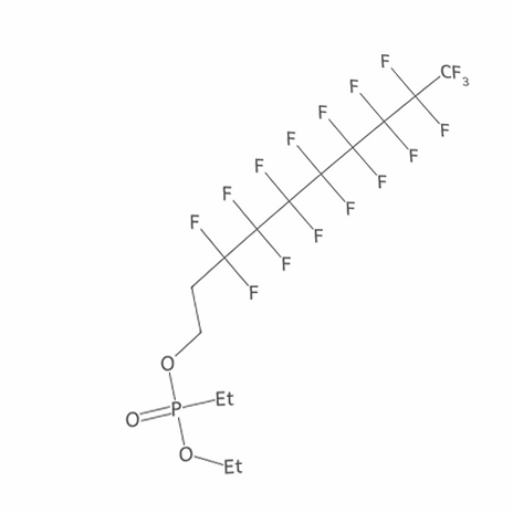 CCOP(=O)(CC)OCCC(F)(F)C(F)(F)C(F)(F)C(F)(F)C(F)(F)C(F)(F)C(F)(F)C(F)(F)F